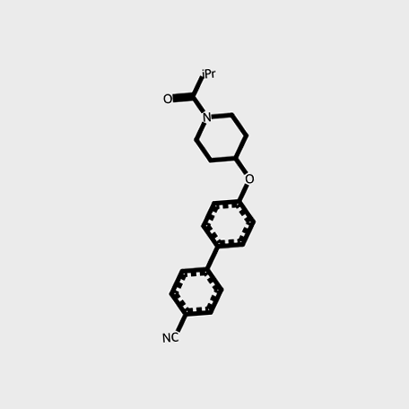 CC(C)C(=O)N1CCC(Oc2ccc(-c3ccc(C#N)cc3)cc2)CC1